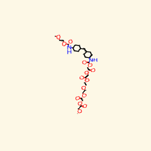 COCCOC(=O)NC1CCC(CC2CCC(NC(=O)OCC(=O)OCC(=O)OCCOCCOC(=O)COC(=O)COC)CC2)CC1